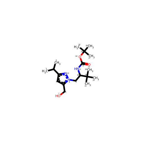 CC(C)c1cc(CO)n(CC(NC(=O)OC(C)(C)C)C(C)(C)C)n1